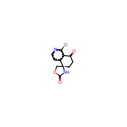 O=C1N[C@]2(CCC(=O)c3c2ccnc3Cl)CO1